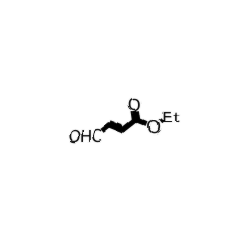 CCOC(=O)C=CC=O